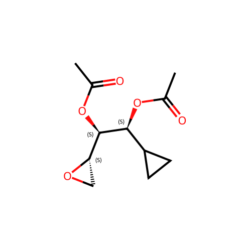 CC(=O)O[C@H]([C@@H]1CO1)[C@@H](OC(C)=O)C1CC1